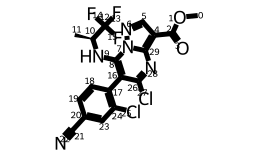 COC(=O)c1cnn2c(N[C@@H](C)C(F)(F)F)c(-c3ccc(C#N)cc3Cl)c(Cl)nc12